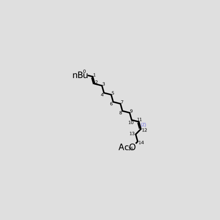 CCCCC=CCCCCCCCC/C=C\CCOC(C)=O